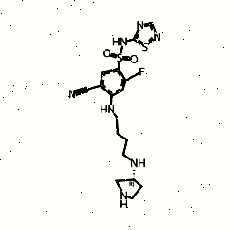 N#Cc1cc(S(=O)(=O)Nc2ncns2)c(F)cc1NCCCCN[C@@H]1CCNC1